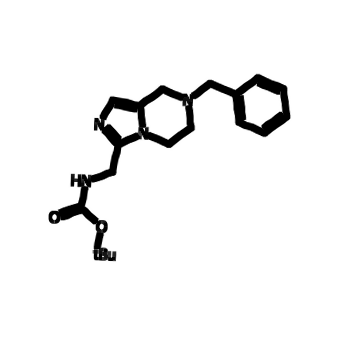 CC(C)(C)OC(=O)NCc1ncc2n1CCN(Cc1ccccc1)C2